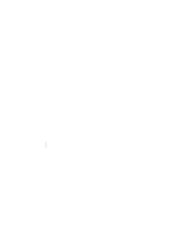 BrC1C=CC2(CC1)OCCO2